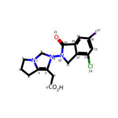 O=C(O)CC1=C2CCCN2CN1N1Cc2c(Cl)cc(I)cc2C1=O